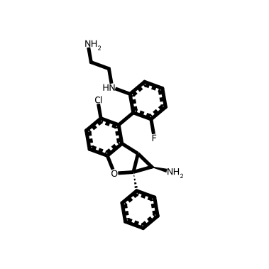 NCCNc1cccc(F)c1-c1c(Cl)ccc2c1C1[C@@H](N)[C@@]1(c1ccccc1)O2